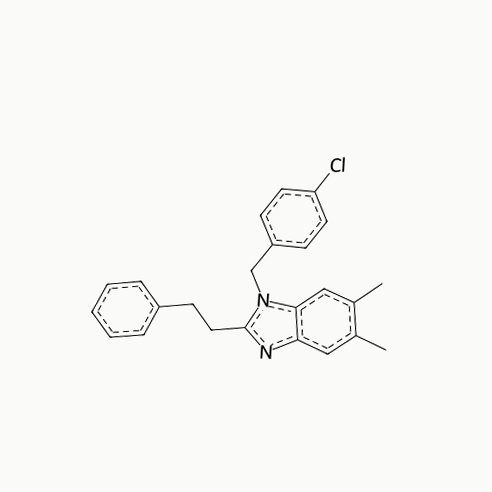 Cc1cc2nc(CCc3ccccc3)n(Cc3ccc(Cl)cc3)c2cc1C